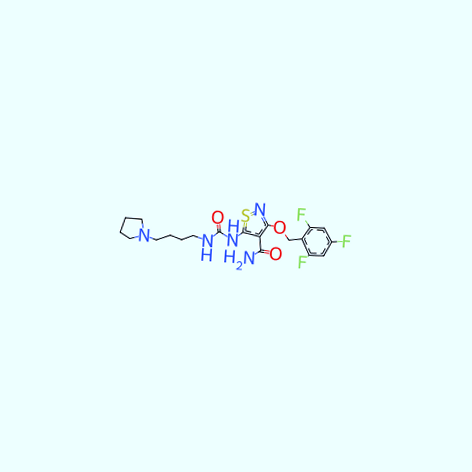 NC(=O)c1c(OCc2c(F)cc(F)cc2F)nsc1NC(=O)NCCCCN1CCCC1